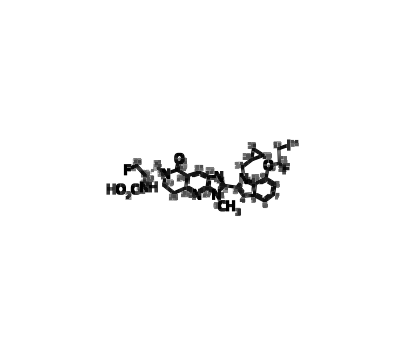 Cn1c(-c2cc3cccc(OC(F)CI)c3n2CC2CC2)nc2cc3c(nc21)CCN(C[C@@H](CF)NC(=O)O)C3=O